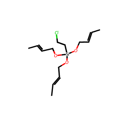 CC=CCO[Si](CCCl)(OCC=CC)OCC=CC